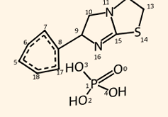 O=P(O)(O)O.c1ccc(C2CN3CCSC3=N2)cc1